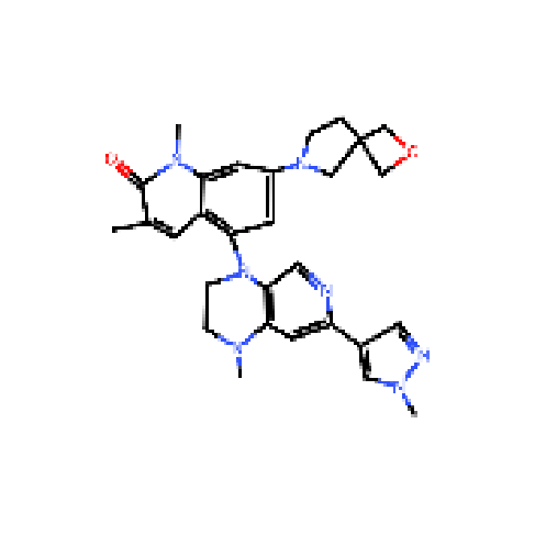 Cc1cc2c(N3CCN(C)c4cc(-c5cnn(C)c5)ncc43)cc(N3CCC4(COC4)C3)cc2n(C)c1=O